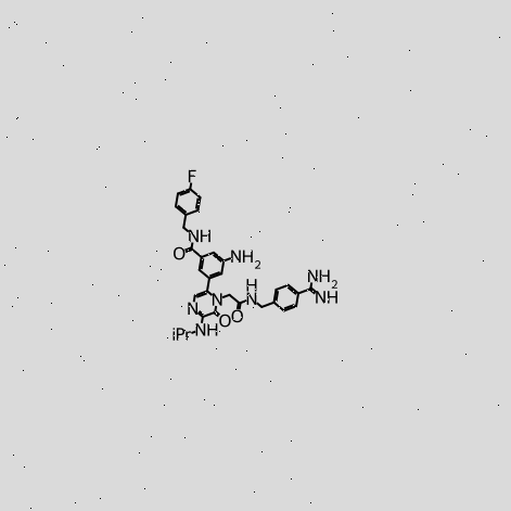 CC(C)Nc1ncc(-c2cc(N)cc(C(=O)NCc3ccc(F)cc3)c2)n(CC(=O)NCc2ccc(C(=N)N)cc2)c1=O